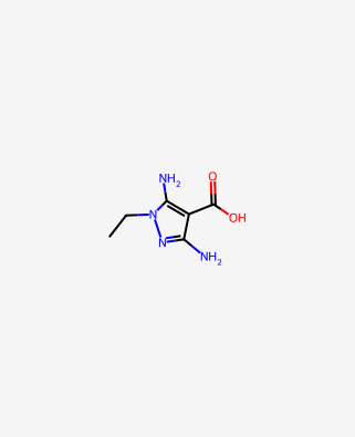 CCn1nc(N)c(C(=O)O)c1N